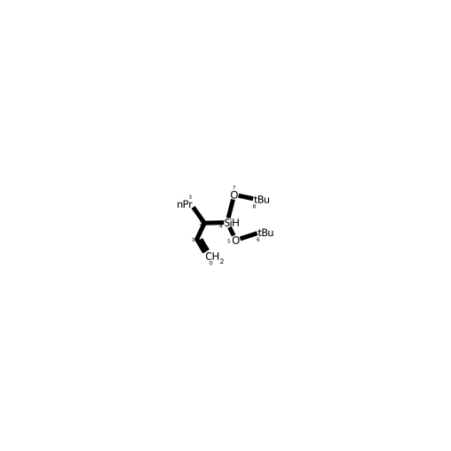 C=CC(CCC)[SiH](OC(C)(C)C)OC(C)(C)C